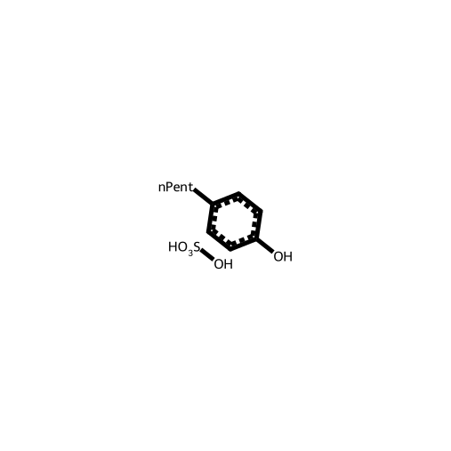 CCCCCc1ccc(O)cc1.O=S(=O)(O)O